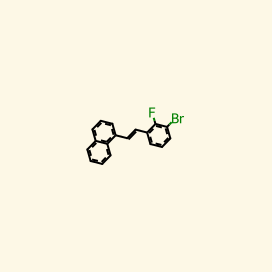 Fc1c(Br)cccc1/C=C/c1cccc2ccccc12